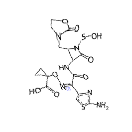 Nc1nc(/C(=N/OC2(C(=O)O)CC2)C(=O)NC2C(=O)N(SO)C2CN2CCOC2=O)cs1